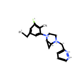 CC(C)Cc1cc(F)c(C#N)c(N2CCN(Cc3cccnn3)C3CC32)c1